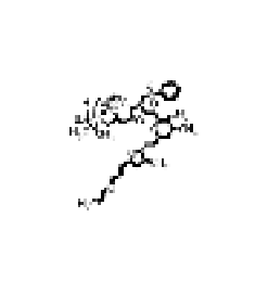 C=CCOC/C=C/C1CC(=C)[C@H](CCC2C[C@@H](C)C(=C)C(CC3OC(CC(CO[Si](C)(C)C(C)(C)C)O[Si](C)(C)C(C)(C)C)[C@H](OC)C3CS(=O)(=O)c3ccccc3)O2)O1